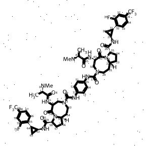 CN[C@@H](C)C(=O)NC1CN(C(=O)Nc2ccc(NC(=O)N3CC[C@H]4CC[C@@H](C(=O)N[C@H]5C[C@@H]5c5ccc(C(F)(F)F)cc5F)N4C(=O)[C@@H](NC(=O)[C@H](C)NC)C3)cc2)CC[C@H]2CC[C@@H](C(=O)N[C@H]3C[C@@H]3c3ccc(C(F)(F)F)cc3F)N2C1=O